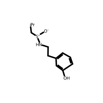 CC(C)C[S+]([O-])NCCc1cccc(O)c1